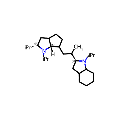 CC(CC1CCC2C[C@@H](C(C)C)N(C(C)C)[C@@H]12)[C@@H]1CC2CCCCC2N1C(C)C